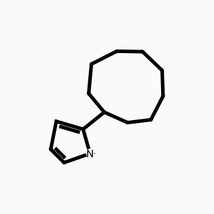 C1=C[N]C(C2CCCCCCCC2)=C1